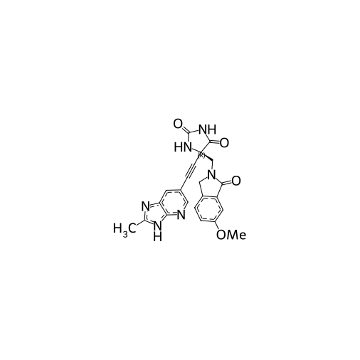 COc1ccc2c(c1)C(=O)N(C[C@@]1(C#Cc3cnc4[nH]c(C)nc4c3)NC(=O)NC1=O)C2